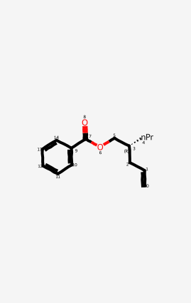 C=CC[C@@H](CCC)COC(=O)c1ccccc1